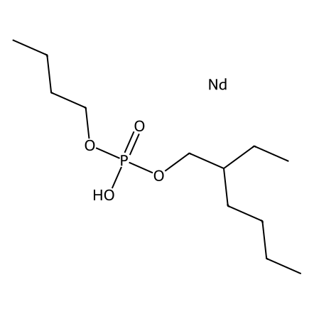 CCCCOP(=O)(O)OCC(CC)CCCC.[Nd]